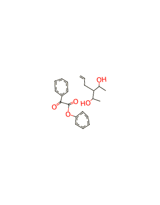 C=CCC(C(C)O)C(C)O.O=C(Oc1ccccc1)C(=O)c1ccccc1